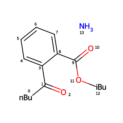 CCCCC(=O)c1ccccc1C(=O)OC(C)CC.N